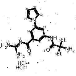 CCC(N)(CC)C(=O)Nc1cc(C(=O)N=C(N)N)cc(-n2cccc2)c1.Cl.Cl